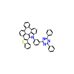 c1ccc(-c2nc(-c3ccccc3)nc(-c3cccc(-n4c5cccc6c5c5c7c(cccc7c7sc8ccccc8c7c54)-c4ccccc4-6)c3)n2)cc1